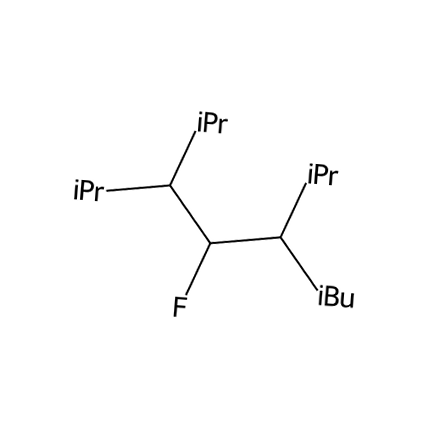 CCC(C)C(C(C)C)C(F)C(C(C)C)C(C)C